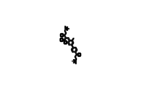 Cc1cc(-c2ccc(C(=O)CCN(C)C)cc2)cc2oc(=O)c(C(=O)CCN(C)C)cc12